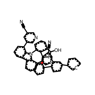 N#Cc1cncc(-c2cccc3c4cccc(-c5cncc(C#N)c5)c4n(-c4cccc5c4C(=O)N(c4cc(-c6ccccc6)ccc4-c4ccccc4)C5O)c23)c1